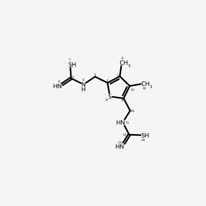 Cc1c(CNC(=N)S)sc(CNC(=N)S)c1C